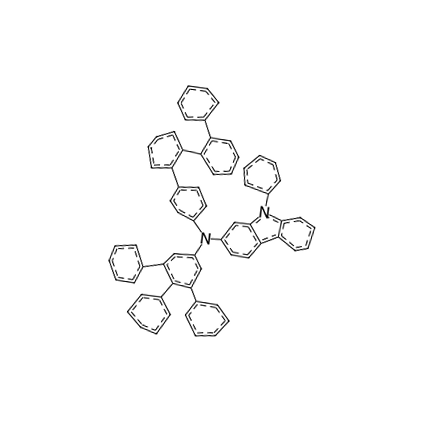 c1ccc(-c2ccccc2-c2ccccc2-c2ccc(N(c3cc(-c4ccccc4)c(-c4ccccc4)c(-c4ccccc4)c3)c3ccc4c5ccccc5n(-c5ccccc5)c4c3)cc2)cc1